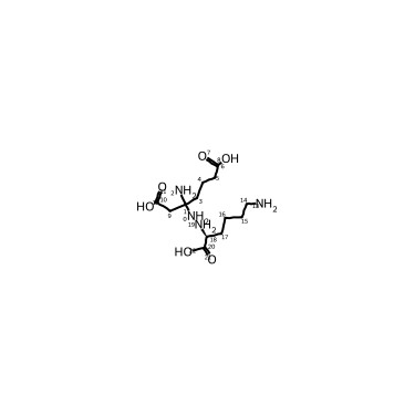 NC(N)(CCCC(=O)O)CC(=O)O.NCCCC[C@H](N)C(=O)O